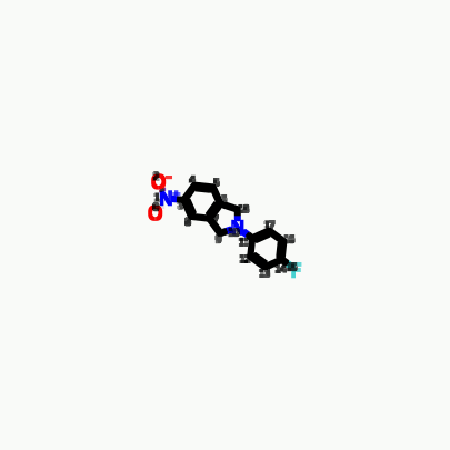 O=[N+]([O-])c1ccc2c(c1)CN(c1ccc(F)cc1)C2